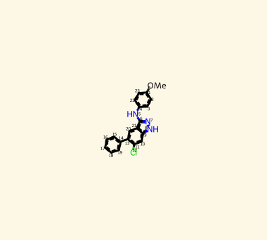 COc1ccc(Nc2n[nH]c3cc(Cl)c(-c4ccccc4)cc23)cc1